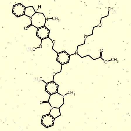 CCCOCCOCCN(CCCC(=O)OC)c1cc(COc2cc3c(cc2C)C(=O)N2c4ccccc4CC2CN3C)cc(COc2cc3c(cc2OC)C(=O)N2c4ccccc4C[C@H]2CN3C)c1